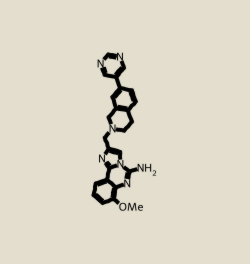 COc1cccc2c1nc(N)n1cc(CN3CCc4ccc(-c5cncnc5)cc4C3)nc21